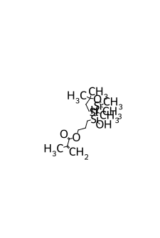 C=C(C)C(=O)OCCC[SiH](O)[Si]1(C)CCC(C)(C)O[Si]1(C)C